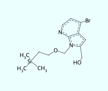 C[Si](C)(C)CCOCn1c(CO)cc2c(Br)ccnc21